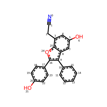 N#CCc1cc(O)cc2c(-c3ccccc3)c(-c3ccc(O)cc3)oc12